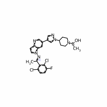 CB(O)N1CCC(n2cc(-c3cnc4ccn(/N=C(\C)c5c(Cl)ccc(F)c5Cl)c4c3)cn2)CC1